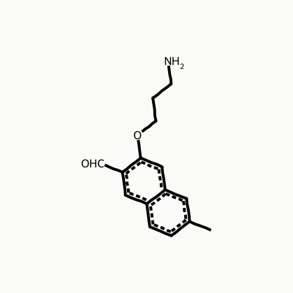 Cc1ccc2cc(C=O)c(OCCCN)cc2c1